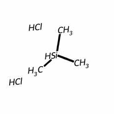 C[SiH](C)C.Cl.Cl